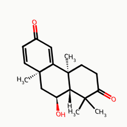 CC1(C)C(=O)CC[C@]2(C)C3=CC(=O)C=C[C@]3(C)C[C@H](O)[C@@H]12